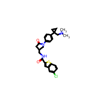 CN(C)CC1(c2ccc(N3CC(CNC(=O)c4cc5cc(Cl)ccc5s4)CC3=O)cc2)CC1